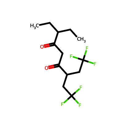 CCC(CC)C(=O)CC(=O)C(CC(F)(F)F)CC(F)(F)F